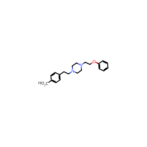 O=C(O)c1ccc(CCN2CCN(CCOc3ccccc3)CC2)cc1